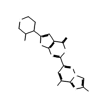 Cc1cn2nc(-c3nc4sc(C5CCNCC5F)cc4c(=O)[nH]3)cc(C)c2n1